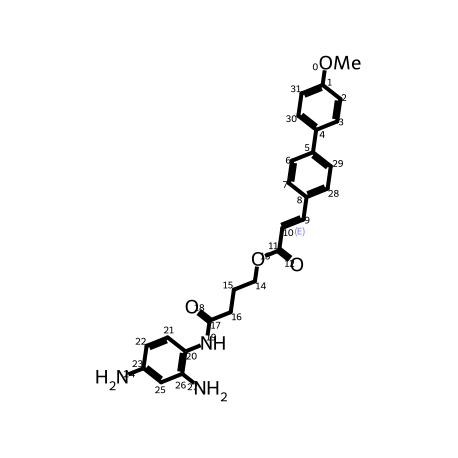 COc1ccc(-c2ccc(/C=C/C(=O)OCCCC(=O)Nc3ccc(N)cc3N)cc2)cc1